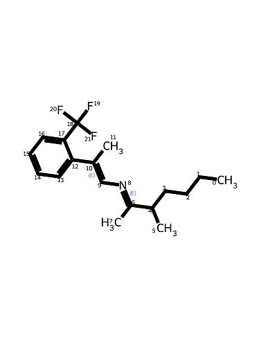 CCCCC(C)/C(C)=N/C=C(\C)c1ccccc1C(F)(F)F